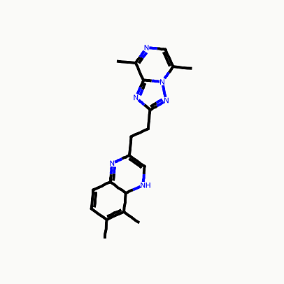 CC1=C(C)C2NC=C(CCc3nc4c(C)ncc(C)n4n3)N=C2C=C1